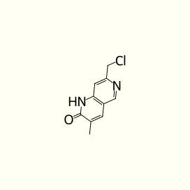 Cc1cc2cnc(CCl)cc2[nH]c1=O